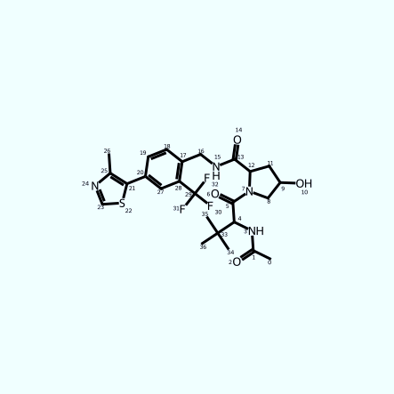 CC(=O)NC(C(=O)N1CC(O)CC1C(=O)NCc1ccc(-c2scnc2C)cc1C(F)(F)F)C(C)(C)C